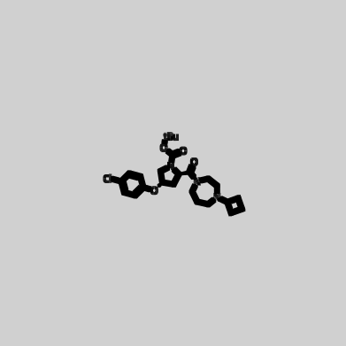 CC(C)(C)OC(=O)N1C[C@@H](Oc2ccc(Cl)cc2)C[C@@H]1C(=O)N1CCCN(C2CCC2)CC1